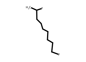 CC(F)CCCCCCCF